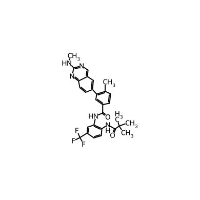 CNc1ncc2cc(-c3cc(C(=O)Nc4cc(C(F)(F)F)ccc4NC(=O)C(C)(C)C)ccc3C)ccc2n1